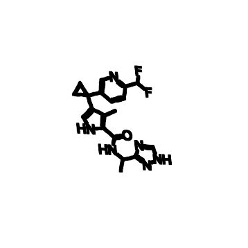 Cc1c(C2(c3ccc(C(F)F)nc3)CC2)c[nH]c1C(=O)NC(C)c1nc[nH]n1